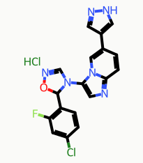 Cl.Fc1cc(Cl)ccc1C1ON=CN1c1cnc2ccc(-c3cn[nH]c3)cn12